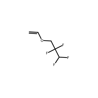 C=COCC(F)(F)C(F)F